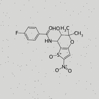 CC1(C)Oc2cc([N+](=O)[O-])[s+]([O-])c2C(NC(=O)c2ccc(F)cc2)C1O